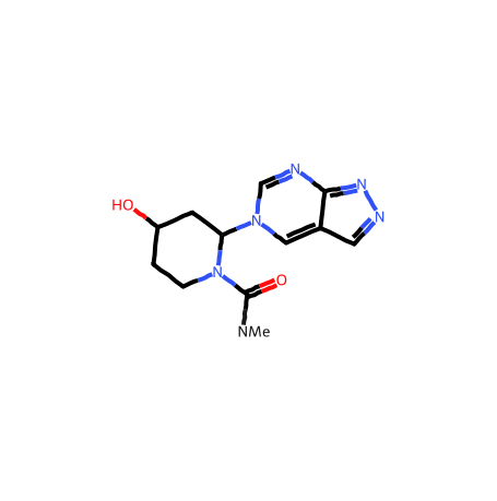 CNC(=O)N1CCC(O)CC1n1cnc2nncc-2c1